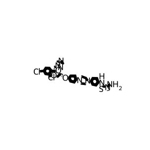 CN(N)C(=S)Nc1ccc(N2CCN(c3ccc(OC[C@@H]4CO[C@@](Cn5cncn5)(c5ccc(Cl)cc5Cl)O4)cc3)CC2)cc1